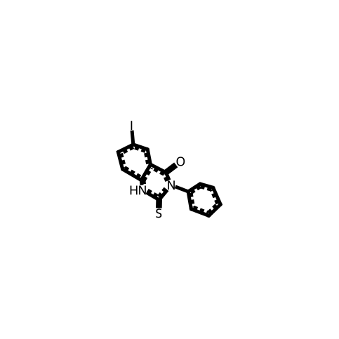 O=c1c2cc(I)ccc2[nH]c(=S)n1-c1ccccc1